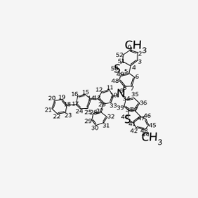 CC1=CC=C2c3ccc(N(c4ccc(-c5ccc(-c6ccccc6)cc5)c(-c5ccccc5)c4)c4ccc5c(c4)sc4cc(C)ccc45)cc3SC2C1